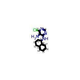 Nc1c(Cl)ncnc1NC1CCCc2ccccc21